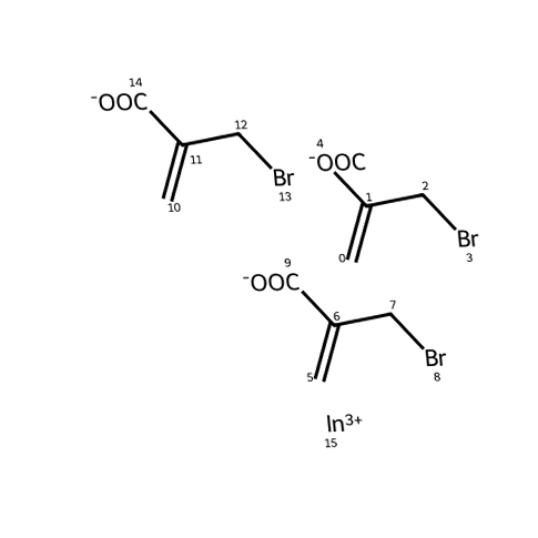 C=C(CBr)C(=O)[O-].C=C(CBr)C(=O)[O-].C=C(CBr)C(=O)[O-].[In+3]